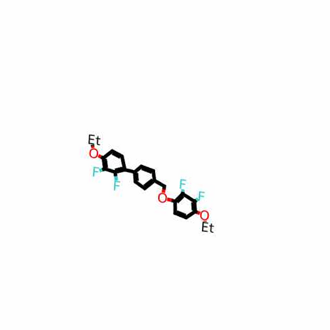 CCOc1ccc(OCc2ccc(-c3ccc(OCC)c(F)c3F)cc2)c(F)c1F